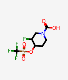 O=C(O)N1CCC(OS(=O)(=O)C(F)(F)F)C(F)C1